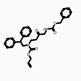 C=CCOC(=O)N(CCC(=O)CNC(=O)OCc1ccccc1)CC(c1ccccc1)c1ccccc1